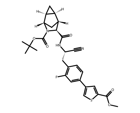 COC(=O)c1cc(-c2ccc(C[C@@H](C#N)NC(=O)[C@@H]3[C@@H]4C[C@@H]([C@H]5C[C@@H]45)N3C(=O)OC(C)(C)C)c(F)c2)cs1